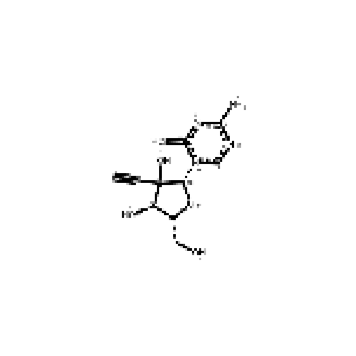 C#C[C@@]1(O)[C@H](O)[C@@H](CO)O[C@H]1n1cnc(N)nc1=O